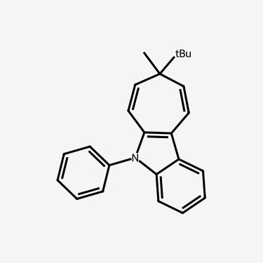 CC(C)(C)C1(C)C=Cc2c(n(-c3ccccc3)c3ccccc23)C=C1